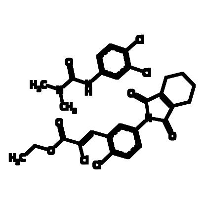 CCOC(=O)/C(Cl)=C/c1cc(N2C(=O)C3=C(CCCC3)C2=O)ccc1Cl.CN(C)C(=O)Nc1ccc(Cl)c(Cl)c1